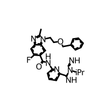 Cc1nc2cc(F)c(C(=O)Nc3cccc(C(=N)N(C=N)C(C)C)n3)cc2n1CCOCc1ccccc1